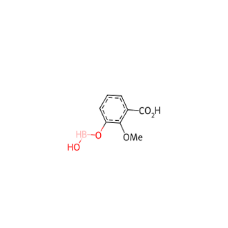 COc1c(OBO)cccc1C(=O)O